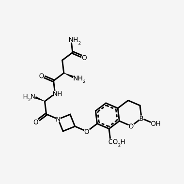 NC(=O)C[C@@H](N)C(=O)N[C@H](N)C(=O)N1CC(Oc2ccc3c(c2C(=O)O)OB(O)CC3)C1